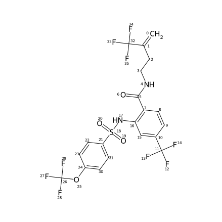 C=C(CCNC(=O)c1ccc(C(F)(F)F)cc1NS(=O)(=O)c1ccc(OC(F)(F)F)cc1)C(F)(F)F